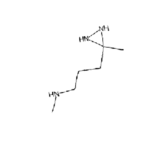 CNCCCC1(C)NN1